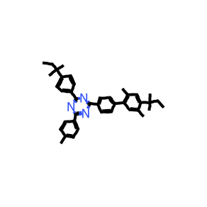 CCC(C)(C)c1ccc(-c2nc(-c3ccc(C)cc3)nc(-c3ccc(-c4cc(C)c(C(C)(C)CC)cc4C)cc3)n2)cc1